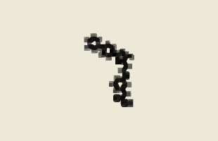 Cc1sc(N2CCN(c3ccccc3)CC2)nc1CCOc1cccc(CC(=O)O)c1